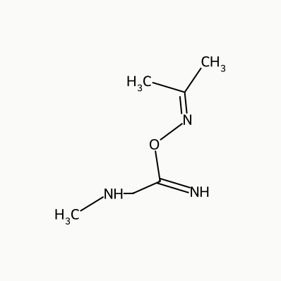 CNCC(=N)ON=C(C)C